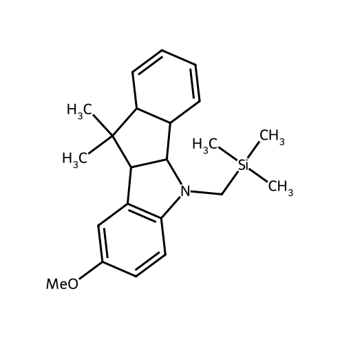 COc1ccc2c(c1)C1C(C3C=CC=CC3C1(C)C)N2C[Si](C)(C)C